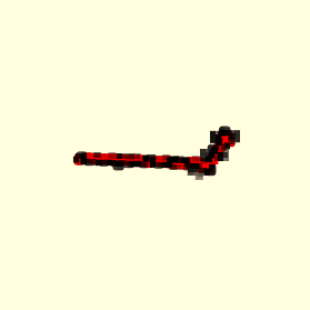 CCOCCOCCOCCOCCOCCC(=O)NCCOCCOCCOCCOCCOCCOCCOCCOCCOCCOCCC(=O)N[C@@H](CCCCNC(=O)CCCC[C@@H]1SC[C@@H]2NC(=O)N[C@@H]21)C(N)=O